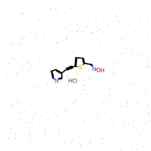 Cl.ON=Cc1ccc(C#Cc2cccnc2)s1